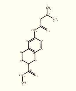 CN(C)CC(=O)Nc1ccc2c(c1)CCC(C(=O)NO)C2